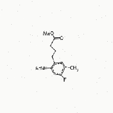 COC(=O)CCCc1cc(C)c(F)cc1NC(C)=O